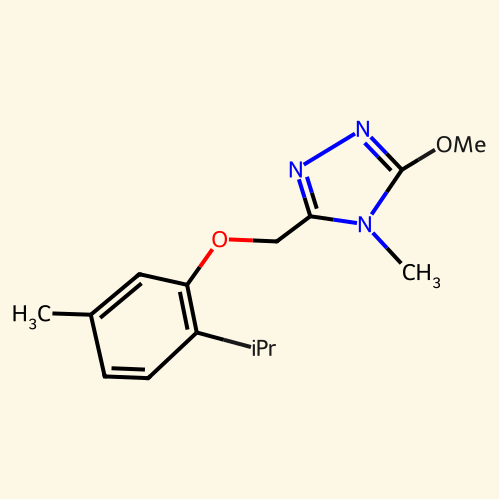 COc1nnc(COc2cc(C)ccc2C(C)C)n1C